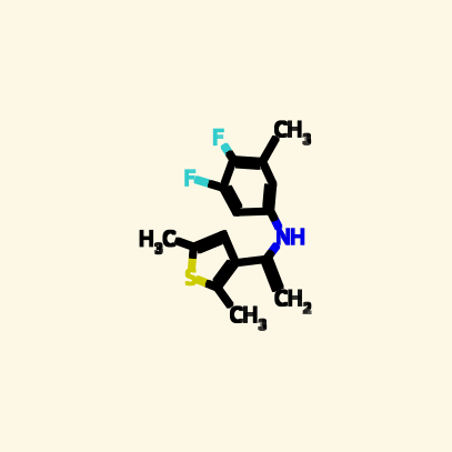 C=C(Nc1cc(C)c(F)c(F)c1)c1cc(C)sc1C